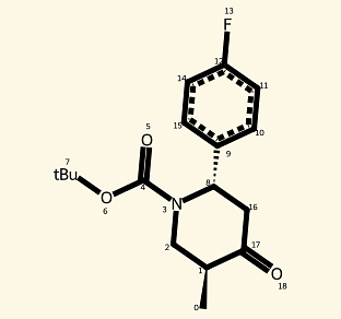 C[C@H]1CN(C(=O)OC(C)(C)C)[C@H](c2ccc(F)cc2)CC1=O